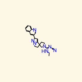 CCN/C(=N\C#N)N1CCC2(CCn3nc(-c4cnc5ccccc5c4)cc32)C1